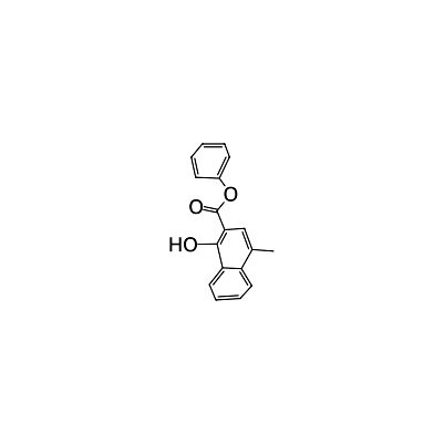 Cc1cc(C(=O)Oc2ccccc2)c(O)c2ccccc12